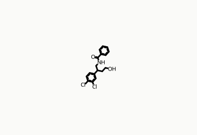 O=C(NCC(CCO)c1ccc(Cl)c(Cl)c1)c1ccccc1